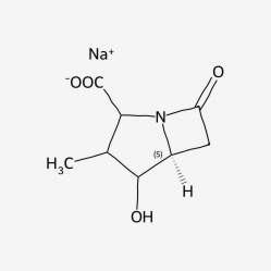 CC1C(O)[C@@H]2CC(=O)N2C1C(=O)[O-].[Na+]